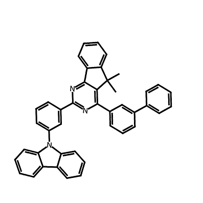 CC1(C)c2ccccc2-c2nc(-c3cccc(-n4c5ccccc5c5ccccc54)c3)nc(-c3cccc(-c4ccccc4)c3)c21